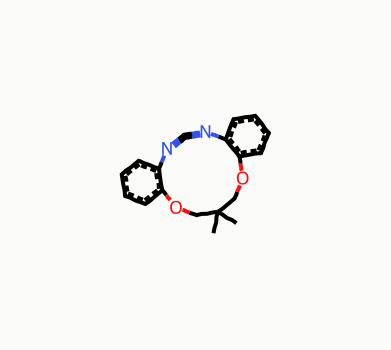 CC1(C)COc2ccccc2N=C=Nc2ccccc2OC1